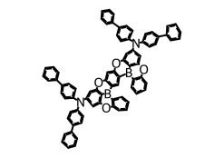 c1ccc(-c2ccc(N(c3ccc(-c4ccccc4)cc3)c3cc4c5c(c3)Oc3cc6c(cc3B5c3ccccc3O4)B3c4ccccc4Oc4cc(N(c5ccc(-c7ccccc7)cc5)c5ccc(-c7ccccc7)cc5)cc(c43)O6)cc2)cc1